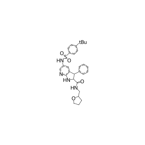 CC(C)(C)c1ccc(S(=O)(=O)Nc2cnc3c(c2)C(c2ccccc2)C(C(=O)NCC2CCCO2)N3)cc1